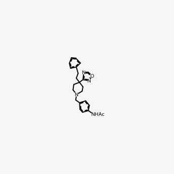 CC(=O)Nc1ccc(CN2CCC(CCc3ccccc3)(c3ncon3)CC2)cc1